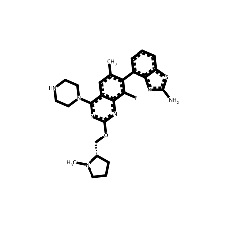 Cc1cc2c(N3CCNCC3)nc(OC[C@@H]3CCCN3C)nc2c(F)c1-c1cccc2sc(N)nc12